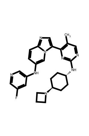 Cc1cnc(N[C@H]2CC[C@H](N3CCC3)CC2)nc1-c1cnc2ccc(Nc3cncc(F)c3)cn12